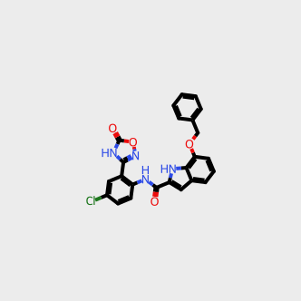 O=C(Nc1ccc(Cl)cc1-c1noc(=O)[nH]1)c1cc2cccc(OCc3ccccc3)c2[nH]1